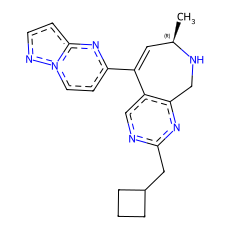 C[C@@H]1C=C(c2ccn3nccc3n2)c2cnc(CC3CCC3)nc2CN1